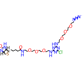 [N-]=[N+]=NCCOCCOCCOCCNc1nc(Cl)nc(NCCOCCOCCOCCNC(=O)CCCC[C@@H]2SC[C@@H]3NC(=O)N[C@@H]32)n1